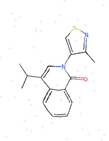 Cc1nscc1-n1cc(C(C)C)c2ccccc2c1=O